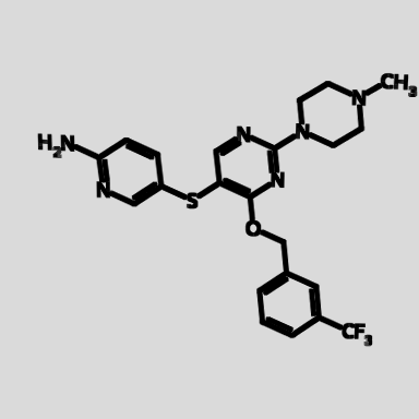 CN1CCN(c2ncc(Sc3ccc(N)nc3)c(OCc3cccc(C(F)(F)F)c3)n2)CC1